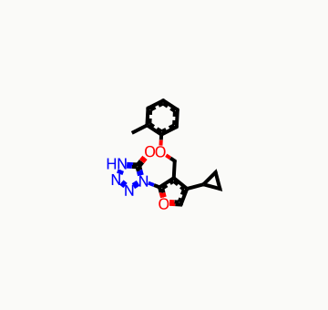 Cc1ccccc1OCc1c(C2CC2)coc1-n1nn[nH]c1=O